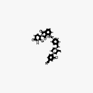 CC1CN(c2ccc(C#N)cc2Cl)CCN1Cc1ccc(CNc2cccc3c2C(=O)N(C2CCC(=O)NC2=O)C3=O)cc1